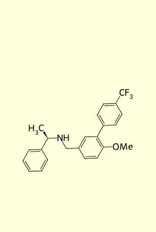 COc1ccc(CN[C@H](C)c2ccccc2)cc1-c1ccc(C(F)(F)F)cc1